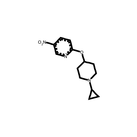 O=[N+]([O-])c1ccc(OC2CCN(C3CC3)CC2)nc1